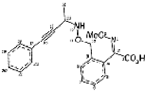 CO/N=C(/C(=O)O)c1ccccc1CONC(C)C#Cc1ccccc1